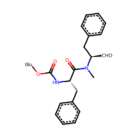 CN(C(=O)[C@H](Cc1ccccc1)NC(=O)OC(C)(C)C)[C@H]([C]=O)Cc1ccccc1